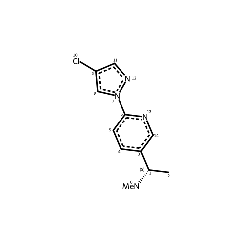 CN[C@@H](C)c1ccc(-n2cc(Cl)cn2)nc1